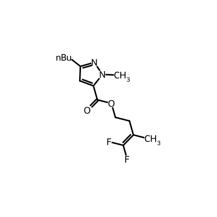 CCCCc1cc(C(=O)OCCC(C)=C(F)F)n(C)n1